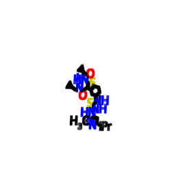 CC(C)c1cc(NNC(=S)N[C@H]2CCc3sc(NC(=O)C4CC4)c(C(=O)NCC4CC4)c3C2)n(C)n1